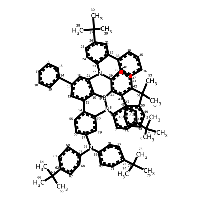 CC(C)(C)c1ccc(N2B3c4c(cc(-c5ccccc5)cc4N(c4ccc(C(C)(C)C)cc4-c4ccccc4)c4ccc5c(c43)-c3ccccc3C5(C)C)-c3ccc(N(c4ccc(C(C)(C)C)cc4)c4ccc(C(C)(C)C)cc4)cc32)cc1